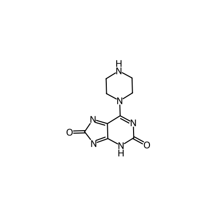 O=C1N=c2[nH]c(=O)nc(N3CCNCC3)c2=N1